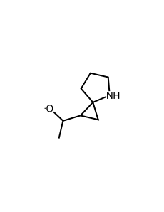 CC([O])C1CC12CCCN2